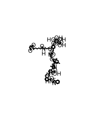 Cc1c(-c2ccc(N3CCc4cccc(C(=O)Nc5nc6ccccc6s5)c4C3)nc2C(=O)O)cnn1CC12CC3(C)CC(C)(C1)CC(OCCN(C)C(=O)OCc1ccc(O[C@@H]4O[C@H](C(=O)O)[C@H](O)[C@H](O)[C@@H]4O)cc1OCCCNC(=O)CCCCCN1C(=O)C=CC1=O)(C3)C2